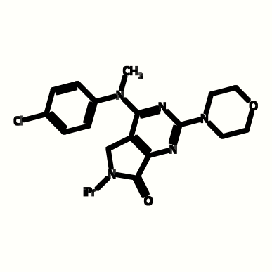 CC(C)N1Cc2c(nc(N3CCOCC3)nc2N(C)c2ccc(Cl)cc2)C1=O